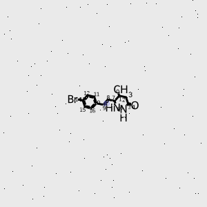 CC1CC(=O)NNC1/C=C/c1ccc(Br)cc1